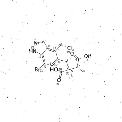 CC(C(=O)O)[C@](C)(Cc1cc(Br)c2[nH]ncc2c1CCl)C(=O)O